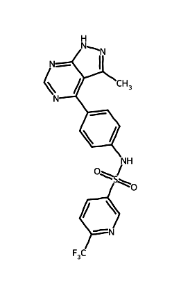 Cc1n[nH]c2ncnc(-c3ccc(NS(=O)(=O)c4ccc(C(F)(F)F)nc4)cc3)c12